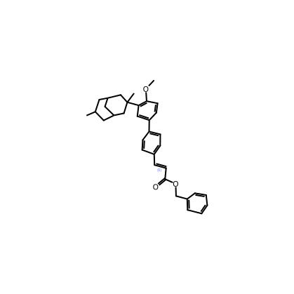 COc1ccc(-c2ccc(/C=C/C(=O)OCc3ccccc3)cc2)cc1C1(C)CC2CC(C)CC(C2)C1